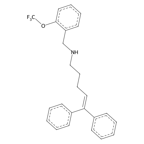 FC(F)(F)Oc1ccccc1CNCCCC=C(c1ccccc1)c1ccccc1